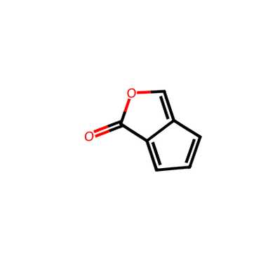 O=C1OC=C2C=CC=C12